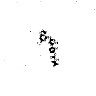 CC1(NC(=O)O[C@H]2CC[C@@H](c3cc(Nc4nc(C(F)(F)F)cc5nccn45)n[nH]3)[C@@H]2F)CC1